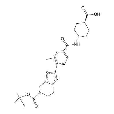 Cc1cc(C(=O)N[C@H]2CC[C@H](C(=O)O)CC2)ccc1-c1nc2c(s1)CN(C(=O)OC(C)(C)C)CC2